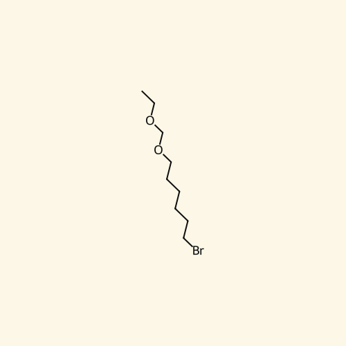 CCOCOCCCCCCBr